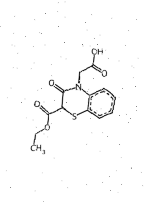 CCOC(=O)C1Sc2ccccc2N(CC(=O)O)C1=O